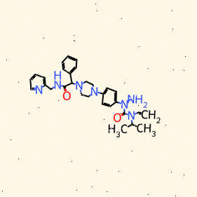 C=CN(C(=O)N(N)c1ccc(N2CCN(C(C(=O)NCc3ccccn3)c3ccccc3)CC2)cc1)C(C)C